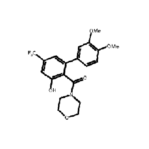 COc1ccc(-c2cc(C(F)(F)F)cc(O)c2C(=O)N2CCOCC2)cc1OC